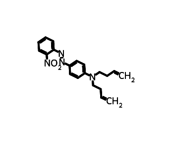 C=CCCN(CCC=C)c1ccc(N=Nc2ccccc2[N+](=O)[O-])cc1